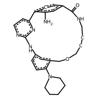 Nc1cc2ccc1-c1ccnc(n1)Nc1ccc(N3CCCCC3)c(c1)COCCCCNC2=O